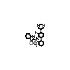 Cn1c(S(=O)(=O)c2ccccc2-c2ccc(-c3cncnc3)c(F)c2)nc2ccccc21